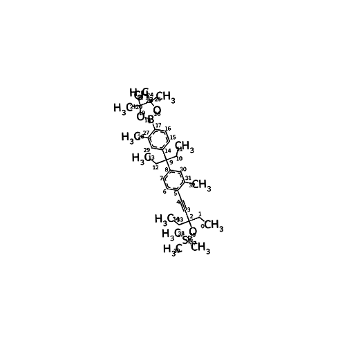 CCC(C#Cc1ccc(C(CC)(CC)c2ccc(B3OC(C)(C)C(C)(C)O3)c(C)c2)cc1C)(CC)O[Si](C)(C)C